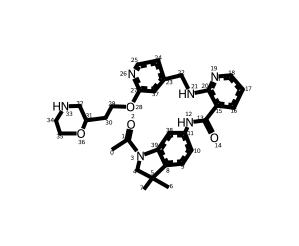 CC(=O)N1CC(C)(C)c2ccc(NC(=O)c3cccnc3NCc3ccnc(OCCC4CNCCO4)c3)cc21